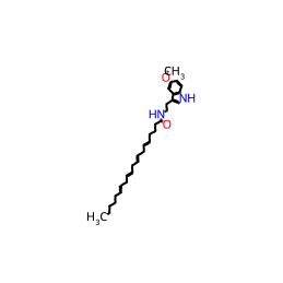 CCCCCC=CCC=CCC=CCC=CCCCC(=O)NCCc1c[nH]c2ccc(OC)cc12